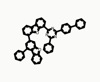 c1ccc(-c2ccc(-c3nc(-c4ccccc4)nc(-c4cccc5c4oc4c(-c6cc(-c7ccccc7)c7c(c6)oc6ccccc67)cccc45)n3)cc2)cc1